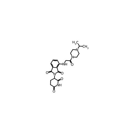 CC(C)N1CCN(C(=O)CNc2cccc3c2C(=O)N(C2CCC(=O)NC2=O)C3=O)CC1